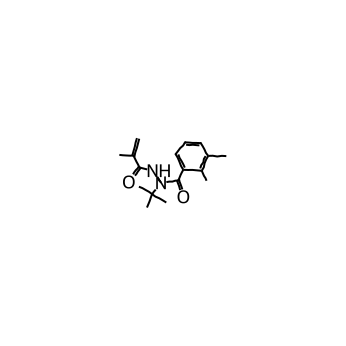 C=C(C)C(=O)NN(C(=O)c1cccc(C)c1C)C(C)(C)C